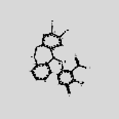 O=C(O)c1c(O)c(=O)ccn1NC1c2cc(F)c(F)cc2CSc2ccccc21